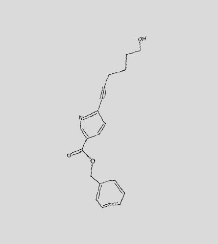 O=C(OCc1ccccc1)c1ccc(C#CCCCCO)nc1